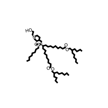 CCCCCCCC[S+]([O-])N(CC1CCN(CCO)CC1)C(CCCCCCCCC(=O)OCC(CCCC)CCCCCC)CCCCCCCCC(=O)OCC(CCCC)CCCCCC